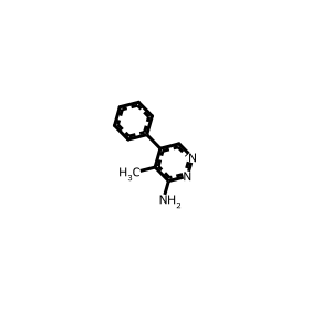 Cc1c(-c2ccccc2)cnnc1N